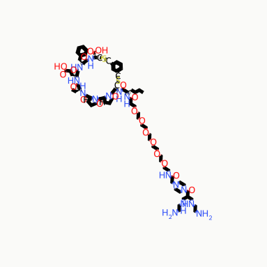 CCCC[C@H](NC(=O)CCOCCOCCOCCOCCOCCOCCNC(=O)CN1CCN(C(=O)C(CNCCN)CNCCN)CC1)C(=O)N[C@H]1CSCc2cccc(c2)CSC[C@@H](C(=O)O)NC(=O)[C@H](Cc2ccccc2)NC(=O)[C@H](CCC(=O)O)NC(=O)[C@H](CC)NC(=O)[C@@H]2CCCN2C(=O)[C@@H]2CCCN2C1=O